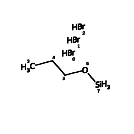 Br.Br.Br.CCCO[SiH3]